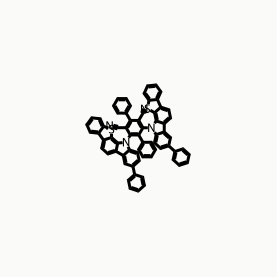 N#Cc1c(-c2ccccc2)c(C#N)c(-n2c3ccc(-c4ccccc4)cc3c3ccc4c5ccccc5sc4c32)c(-c2ccccc2)c1-n1c2ccc(-c3ccccc3)cc2c2ccc3c4ccccc4sc3c21